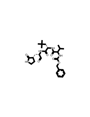 CC(C)C(NC(=O)OCc1ccccc1)C(=O)N[C@@H](CC(C)(C)C)C(=O)N[C@H](C=O)C[C@@H]1CCNC1=O